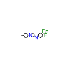 Cc1ccc(N2CCC(N(C)c3ccc(C(F)(F)F)cc3)C2)cc1